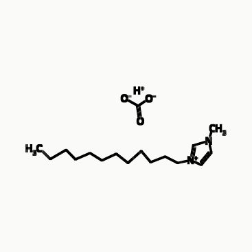 CCCCCCCCCCCC[n+]1ccn(C)c1.O=C([O-])[O-].[H+]